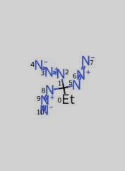 CCC(N=[N+]=[N-])(N=[N+]=[N-])N=[N+]=[N-]